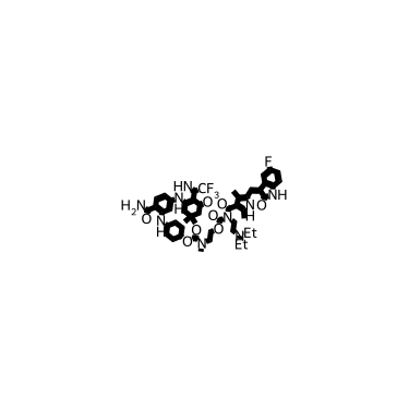 CCN(CC)CCN(C(=O)OCCN(C)C(=O)OC1CCC(Nc2cc(NC3=C(C(=N)C(F)(F)F)C(=O)CC(C)(C)C3)ccc2C(N)=O)CC1)C(=O)c1c(C)[nH]c(/C=C2\C(=O)Nc3ccc(F)cc32)c1C